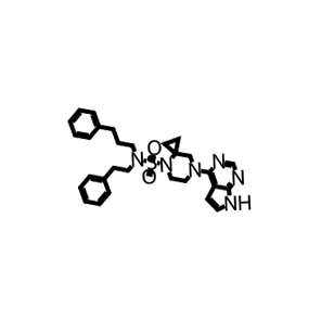 O=S(=O)(N(CCCc1ccccc1)CCc1ccccc1)N1CCN(c2ncnc3[nH]ccc23)CC12CC2